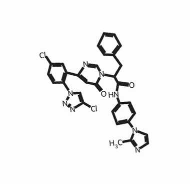 Cc1nccn1-c1ccc(NC(=O)C(Cc2ccccc2)n2cnc(-c3cc(Cl)ccc3-n3cc(Cl)nn3)cc2=O)cc1